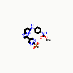 CC(C)(C)OC(=O)N[C@H]1CC[C@H](Nc2ccc3ncc(-c4cnc(S(C)(=O)=O)nc4)n3n2)CC1